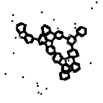 c1ccc(-c2cccc(-c3ccc(-c4nc(-c5ccccc5)nc(-c5ccc(-c6ccccc6)c(-n6c7ccccc7c7cc(-c8ccc9sc%10ccccc%10c9c8)ccc76)c5)n4)cc3-n3c4ccccc4c4ccccc43)c2)cc1